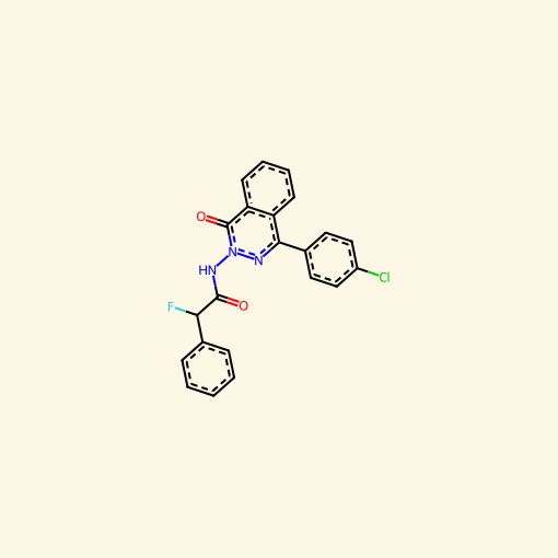 O=C(Nn1nc(-c2ccc(Cl)cc2)c2ccccc2c1=O)C(F)c1ccccc1